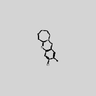 Cc1cc2c(cc1Cl)N=C1CCCCCN1C2